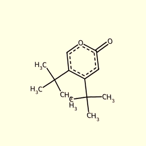 CC(C)(C)c1coc(=O)cc1C(C)(C)C